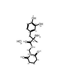 C[C@](N)(Cc1ccc(O)c(O)c1)C(=O)OCN1C(=O)CCCC1=O.Cl